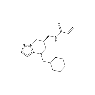 C=CC(=O)NC[C@H]1CN(CC2CCCCC2)c2ccnn2C1